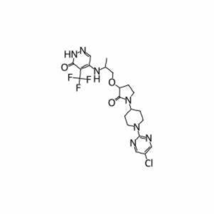 CC(COC1CCN(C2CCN(c3ncc(Cl)cn3)CC2)C1=O)Nc1cn[nH]c(=O)c1C(F)(F)F